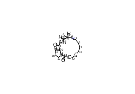 O=C1N[C@@H]2C[C@H]2/C=C\CCCCCCC(=O)N2CCC[C@@H]12